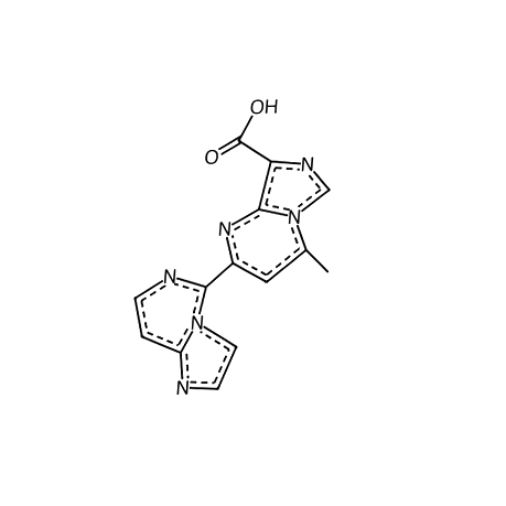 Cc1cc(-c2nccc3nccn23)nc2c(C(=O)O)ncn12